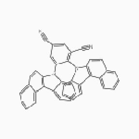 N#Cc1cc(C#N)c(-n2c3ccccc3c3c4ccccc4ccc32)c(-n2c3ccccc3c3c4ccccc4ccc32)c1